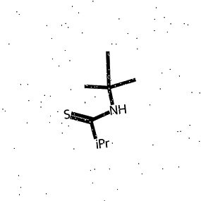 CC(C)C(=S)NC(C)(C)C